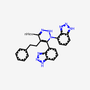 CCCCCCC1=NNN(c2cccc3[nH]nnc23)C(c2cccc3[nH]nnc23)=C1CCc1ccccc1